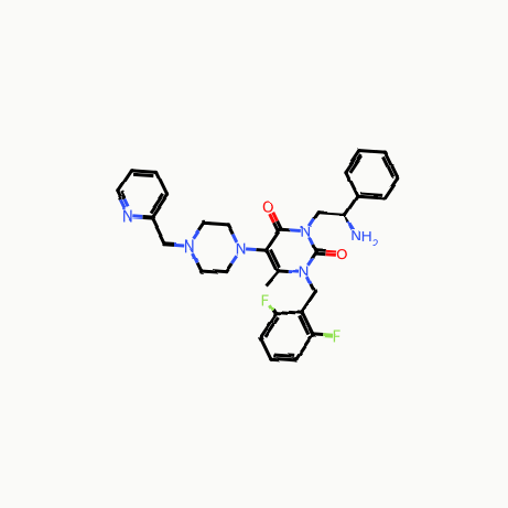 Cc1c(N2CCN(Cc3ccccn3)CC2)c(=O)n(C[C@H](N)c2ccccc2)c(=O)n1Cc1c(F)cccc1F